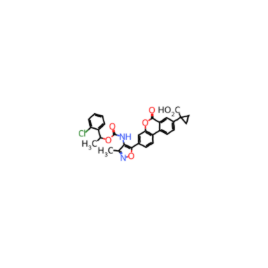 Cc1noc(-c2ccc3c(c2)oc(=O)c2cc(C4(C(=O)O)CC4)ccc23)c1NC(=O)OC(C)c1ccccc1Cl